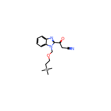 C[Si](C)(C)CCOCn1c(C(=O)CC#N)nc2ccccc21